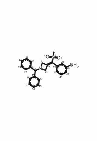 CS(=O)(=O)C(=C1CN(C(c2ccccc2)c2ccccc2)C1)c1cccc(N)c1